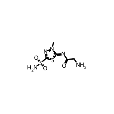 Cn1nc(S(N)(=O)=O)sc1=NC(=O)CN